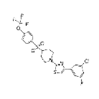 O=S(=O)(c1ccc(OC(F)(F)F)cc1)C1CCN(c2nc(-c3cc(F)cc(Cl)c3)cs2)CC1